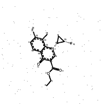 CCOC(=O)c1cn([C@@H]2C[C@@H]2F)c2c(C)c(F)ccc2c1=O